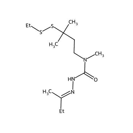 CCSSC(C)(C)CCN(C)C(=O)N/N=C(\C)CC